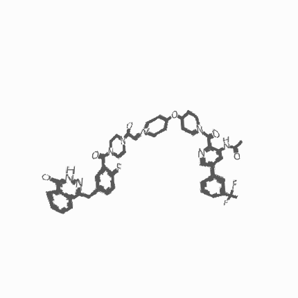 CC(=O)Nc1cc(-c2cccc(C(C)(F)F)c2)cnc1C(=O)N1CCC(OC2CCN(CC(=O)N3CCN(C(=O)c4cc(Cc5n[nH]c(=O)c6ccccc56)ccc4F)CC3)CC2)CC1